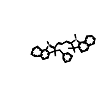 CN1/C(=C/C=C/C2=[N+](C)c3c(ccc4ccccc34)C2(C)Cc2ccccc2)C(C)(C)c2ccc3ccccc3c21